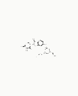 CCO[C@H]1C[C@H](Oc2ccc3c(c2)CN(C2CCC(=O)NC2=O)C3=O)CN(CC)C1